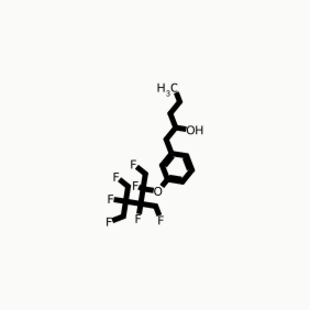 CCCC(O)Cc1cccc(OC(F)(CF)C(F)(CF)C(F)(CF)CF)c1